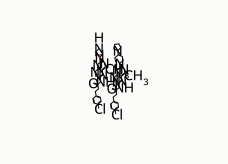 Cc1nc(N2CC3CC2CN3)nc2ncc(NC(=O)CCc3ccc(Cl)cc3)nc12.Cc1nc(N2CCC(N3CCCC3)CC2)nc2ncc(NC(=O)CCc3ccc(Cl)cc3)nc12